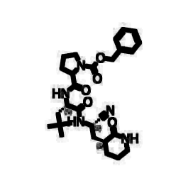 CC(C)(C)C[C@H](NC(=O)C1CCCN1C(=O)OCc1ccccc1)C(=O)N[C@H](C#N)C[C@@H]1CCCNC1=O